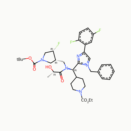 CCOC(=O)N1CCC([C@H](c2nc(-c3cc(F)ccc3F)cn2Cc2ccccc2)N(C[C@@H]2CN(C(=O)OC(C)(C)C)C[C@@H]2F)C(=O)[C@H](C)O)CC1